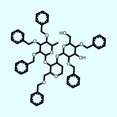 CC1OC(OC2C(COCc3ccccc3)OCCC2OC2OC(CO)C(OCc3ccccc3)C(O)C2OCc2ccccc2)C(OCc2ccccc2)C(OCc2ccccc2)C1OCc1ccccc1